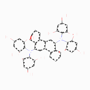 Oc1cc(O)c(N(c2c(O)cc(O)cc2O)c2cc3c4ccccc4c(N(c4c(O)cc(O)cc4O)c4c(O)cc(O)cc4O)cc3c3ccccc23)c(O)c1